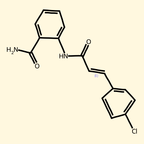 NC(=O)c1ccccc1NC(=O)/C=C/c1ccc(Cl)cc1